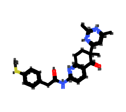 CCSc1ccc(CC(=O)Nc2ccc3c(n2)CCC(C)(c2cc(C)nc(C)n2)C3=O)cc1